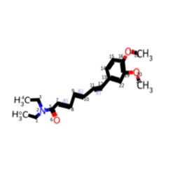 CCN(CC)C(=O)/C=C/C=C/C=C/c1ccc(OC)c(OC)c1